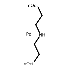 CCCCCCCCCCNCCCCCCCCCC.[Pd]